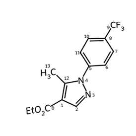 CCOC(=O)c1cnn(-c2ccc(C(F)(F)F)cc2)c1C